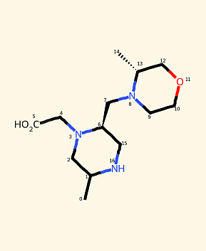 CC1CN(CC(=O)O)[C@@H](CN2CCOC[C@H]2C)CN1